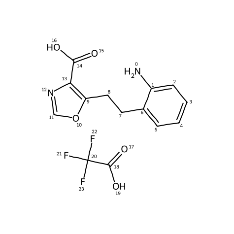 Nc1ccccc1CCc1ocnc1C(=O)O.O=C(O)C(F)(F)F